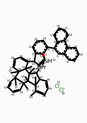 CCCC1=Cc2c(-c3cc4ccccc4c4ccccc34)cccc2C1C1=CC=CC2(C)C3(C)C=CC=CC3(C)C3(C)C4(C)C(C)=CC=CC4[CH]([Zr+2][SiH](C)C)C3(C)C12C.[Cl-].[Cl-]